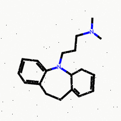 CN(C)CCCN1c2ccccc2CCC2=CC=CCC21